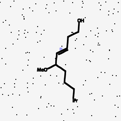 COC(/C=C/CCO)CCCC(C)C